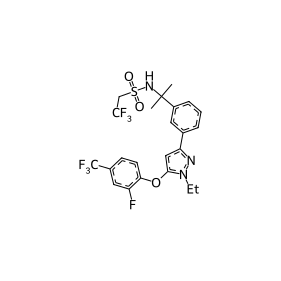 CCn1nc(-c2cccc(C(C)(C)NS(=O)(=O)CC(F)(F)F)c2)cc1Oc1ccc(C(F)(F)F)cc1F